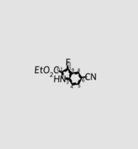 CCOC(=O)c1[nH]c2ccc(C#N)cc2c1F